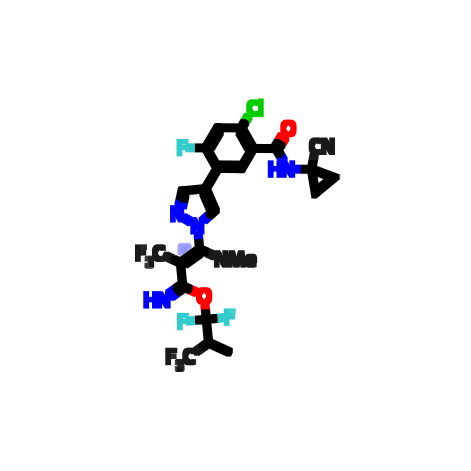 CN/C(=C(\C(=N)OC(F)(F)C(C)C(F)(F)F)C(F)(F)F)n1cc(-c2cc(C(=O)NC3(C#N)CC3)c(Cl)cc2F)cn1